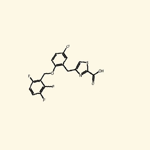 O=C(O)c1nc(Cc2cc(Cl)ccc2OCc2c(F)ccc(F)c2F)cs1